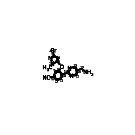 Cn1nc(Br)cc1Oc1cc(C#N)ccc1-c1ncc(CN)cn1